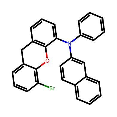 Brc1cccc2c1Oc1c(cccc1N(c1ccccc1)c1ccc3ccccc3c1)C2